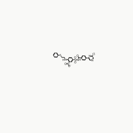 O=C(NS(=O)(=O)c1ccc(NCCSc2ccccc2)c([N+](=O)[O-])c1)c1ccc(-c2cncc(Cl)n2)cc1